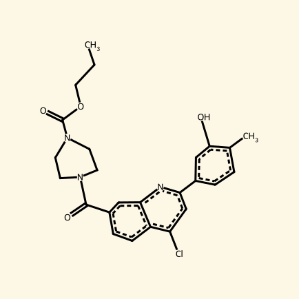 CCCOC(=O)N1CCN(C(=O)c2ccc3c(Cl)cc(-c4ccc(C)c(O)c4)nc3c2)CC1